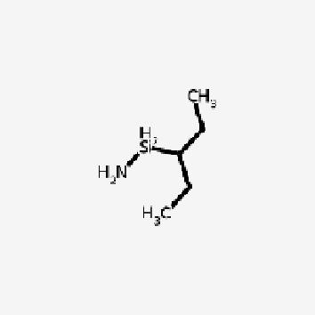 CCC(CC)[SiH2]N